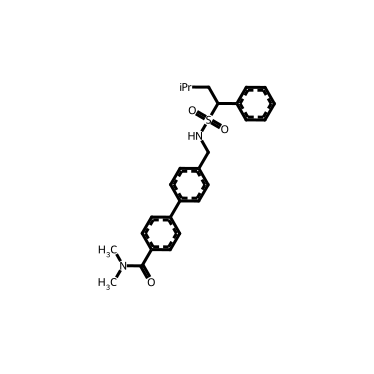 CC(C)CC(c1ccccc1)S(=O)(=O)NCc1ccc(-c2ccc(C(=O)N(C)C)cc2)cc1